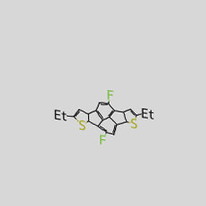 CCC1=CC2c3c(F)cc4c5c(c(F)cc(c35)C2S1)C1SC(CC)=CC41